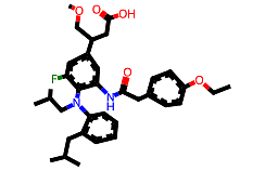 CCOc1ccc(CC(=O)Nc2cc(C(COC)CC(=O)O)cc(F)c2N(CC(C)C)c2ccccc2CC(C)C)cc1